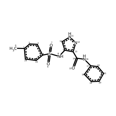 Cc1ccc(S(=O)(=O)Nc2c[nH]nc2C(=O)Nc2ccccc2)cc1